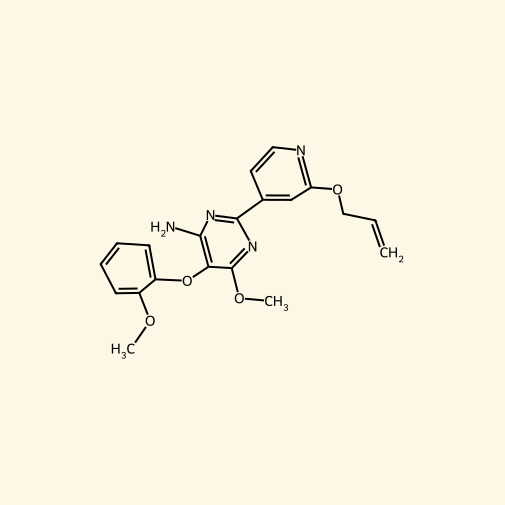 C=CCOc1cc(-c2nc(N)c(Oc3ccccc3OC)c(OC)n2)ccn1